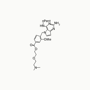 CCCCCNc1nc(N)nc2ccn(Cc3ccc(C(=O)OCCOCCN(C)C)cc3OC)c12